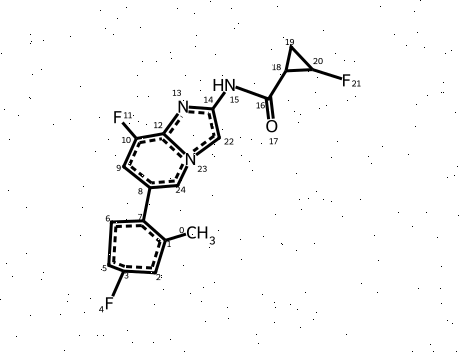 Cc1cc(F)ccc1-c1cc(F)c2nc(NC(=O)C3CC3F)cn2c1